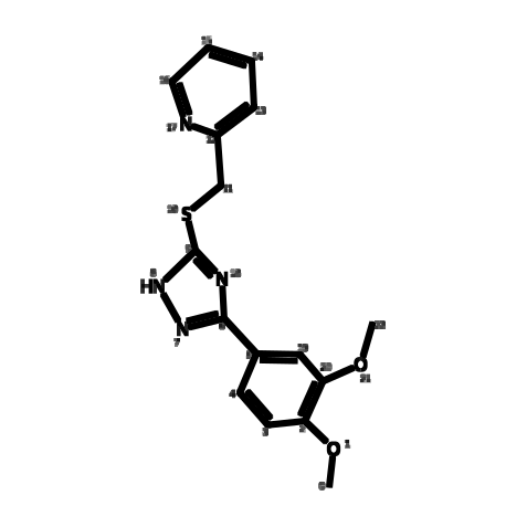 COc1ccc(-c2n[nH]c(SCc3ccccn3)n2)cc1OC